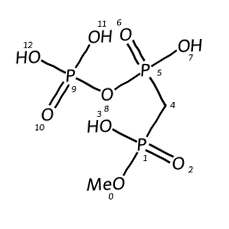 COP(=O)(O)CP(=O)(O)OP(=O)(O)O